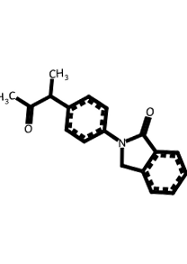 CC(=O)C(C)c1ccc(N2Cc3ccccc3C2=O)cc1